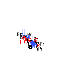 CCC(CC)NC(=O)C(NC(=O)C[C@H](O)[C@H](Cc1ccccc1)NC(=O)C(NC(=O)[C@H](CC(C)C)NC(=O)CC(C)C)C(C)C)C(C)C